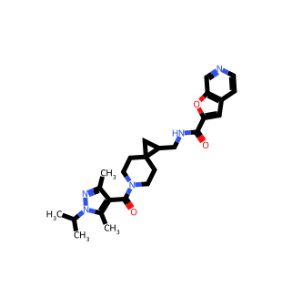 Cc1nn(C(C)C)c(C)c1C(=O)N1CCC2(CC1)CC2CNC(=O)c1cc2ccncc2o1